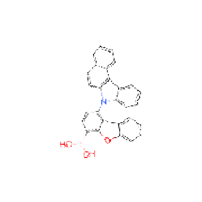 OB(O)c1ccc(-n2c3ccccc3c3c4ccccc4ccc32)c2c1oc1ccccc12